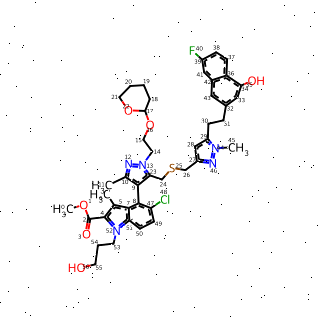 COC(=O)c1c(C)c2c(-c3c(C)nn(CCOC4CCCCO4)c3CSCc3cc(CCc4cc(O)c5ccc(F)cc5c4)n(C)n3)c(Cl)ccc2n1CCCO